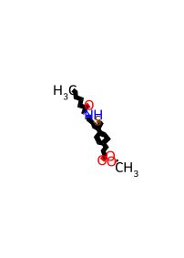 CCCCCC(=O)CNCc1cc(-c2ccc(CCC(=O)OOCC)cc2)cs1